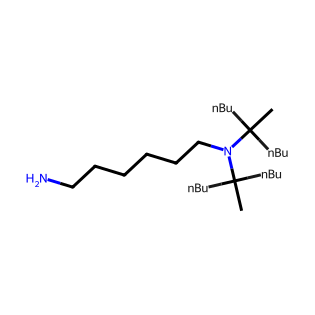 CCCCC(C)(CCCC)N(CCCCCCN)C(C)(CCCC)CCCC